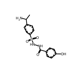 CC(N)c1ccc(S(=O)(=O)NNC(=O)c2ccc(O)cc2)cc1